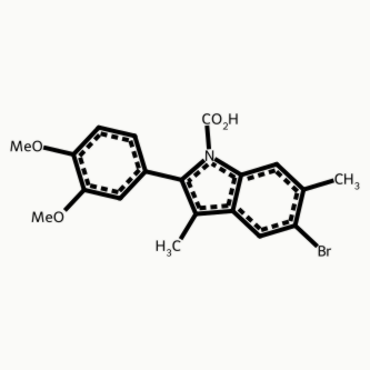 COc1ccc(-c2c(C)c3cc(Br)c(C)cc3n2C(=O)O)cc1OC